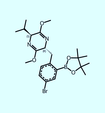 COC1=N[C@H](Cc2ccc(Br)cc2B2OC(C)(C)C(C)(C)O2)C(OC)=N[C@H]1C(C)C